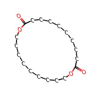 O=C1CCCCCCCCC(=O)OCCCCCCCCCO1